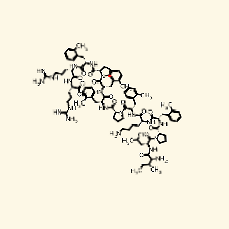 CC[C@H](C)[C@H](N)C(=O)N[C@@H](CC(C)C)C(=O)N1CCC[C@H]1C(=O)N[C@@H](Cc1ccccc1C)C(=O)N[C@@H](CCCCN)C(=O)N[C@@H](Cc1ccccc1C)C(=O)N1CCC[C@H]1C(=O)N[C@@H](Cc1ccccc1C)C(=O)N[C@@H](Cc1ccccc1C)C(=O)N1CCC[C@H]1C(=O)N[C@@H](Cc1ccccc1C)C(=O)N[C@@H](CCCNC(=N)N)C(=O)N[C@@H](CCCNC(=N)N)C(=O)O